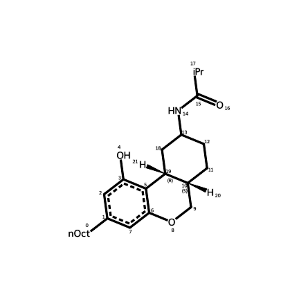 CCCCCCCCc1cc(O)c2c(c1)OC[C@H]1CCC(NC(=O)C(C)C)C[C@@H]21